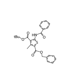 Cc1c(C(=O)OCc2ccccc2)sc(NC(=O)c2ccccc2)c1C(=O)OC(C)(C)C